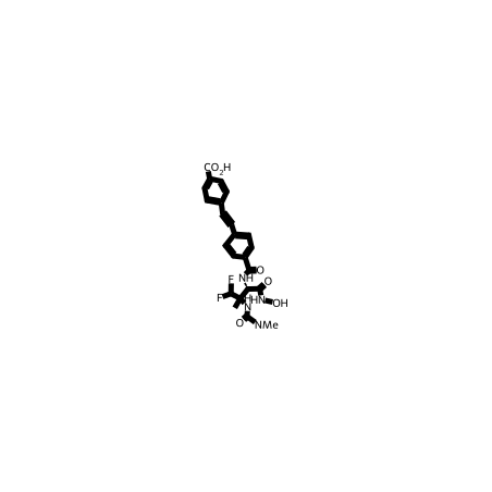 CNC(=O)NC(C)(C(F)F)[C@H](NC(=O)c1ccc(C#Cc2ccc(C(=O)O)cc2)cc1)C(=O)NO